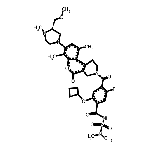 COC[C@H]1CN(c2cc(C)c3c4c(c(=O)oc3c2C)CN(C(=O)c2cc(OC3CCC3)c(C(=O)NS(=O)(=O)N(C)C)cc2F)CC4)CCN1C